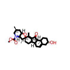 COC(=O)N1C[C@@H](C)C[C@H]2O[C@@]3(CC[C@@H]4C(=C3C)C(=O)[C@H]3[C@H]4CC=C4C[C@@H](O)CC[C@@]43C)[C@H](C)[C@@H]21